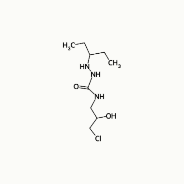 CCC(CC)NNC(=O)NCC(O)CCl